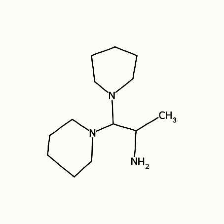 CC(N)C(N1CCCCC1)N1CCCCC1